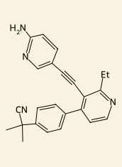 CCc1nccc(-c2ccc(C(C)(C)C#N)cc2)c1C#Cc1ccc(N)nc1